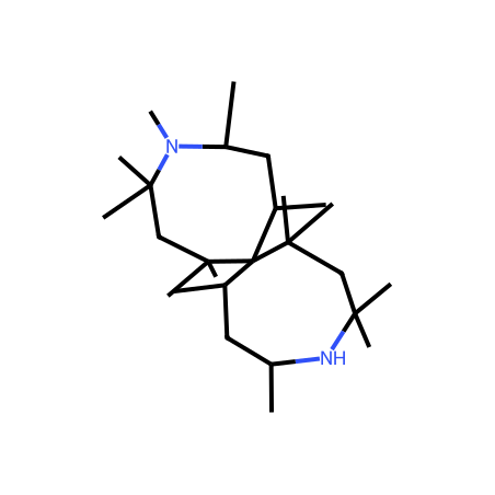 CC1CC(C)C2(C(C)CC(C)N(C)C(C)(C)CC2(C)C)C(C)(C)CC(C)(C)N1